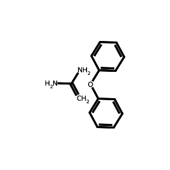 C=C(N)N.c1ccc(Oc2ccccc2)cc1